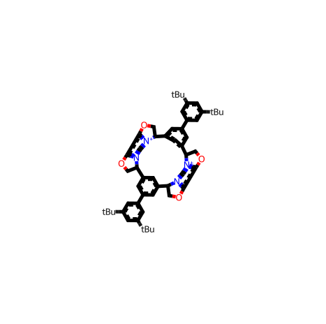 CC(C)(C)c1cc(-c2cc3cc(c2)C2COc4c5[n+](cn42)C(CO5)c2cc(-c4cc(C(C)(C)C)cc(C(C)(C)C)c4)cc(c2)C2COc4c5n(c[n+]42)C3CO5)cc(C(C)(C)C)c1